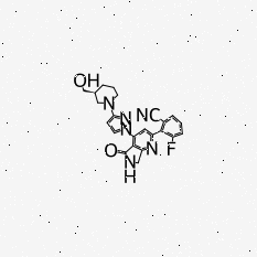 N#Cc1cccc(F)c1-c1cc(-n2ccc(N3CCC[C@H](CO)C3)n2)c2c(n1)CNC2=O